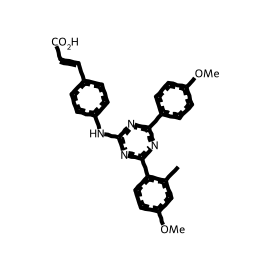 COc1ccc(-c2nc(Nc3ccc(/C=C/C(=O)O)cc3)nc(-c3ccc(OC)cc3C)n2)cc1